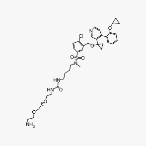 CN(CCCCNC(=O)NCCOCCOCCN)S(=O)(=O)c1ccc(Cl)c(COC2(c3cnccc3-c3ccccc3OC3CC3)CC2)c1